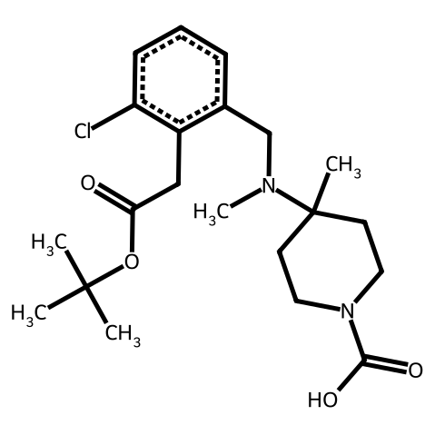 CN(Cc1cccc(Cl)c1CC(=O)OC(C)(C)C)C1(C)CCN(C(=O)O)CC1